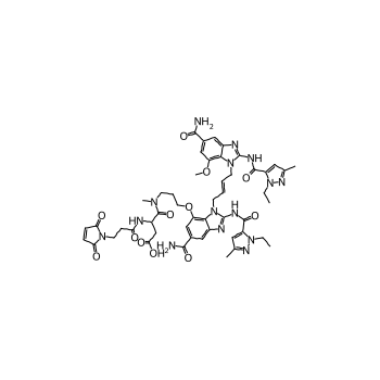 CCn1nc(C)cc1C(=O)Nc1nc2cc(C(N)=O)cc(OC)c2n1CC=CCn1c(NC(=O)c2cc(C)nn2CC)nc2cc(C(N)=O)cc(OCCCN(C)C(=O)C(CC(=O)O)NC(=O)CCN3C(=O)C=CC3=O)c21